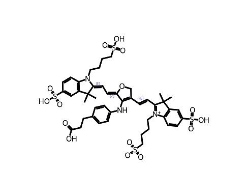 CC1(C)C(/C=C/C2=C(Nc3ccc(CCC(=O)O)cc3)C(=C/C=C3/N(CCCCS(=O)(=O)O)c4ccc(S(=O)(=O)O)cc4C3(C)C)/OC2)=[N+](CCCCS(=O)(=O)[O-])c2ccc(S(=O)(=O)O)cc21